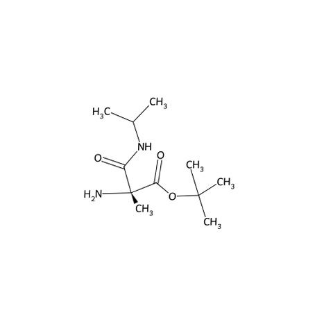 CC(C)NC(=O)[C@@](C)(N)C(=O)OC(C)(C)C